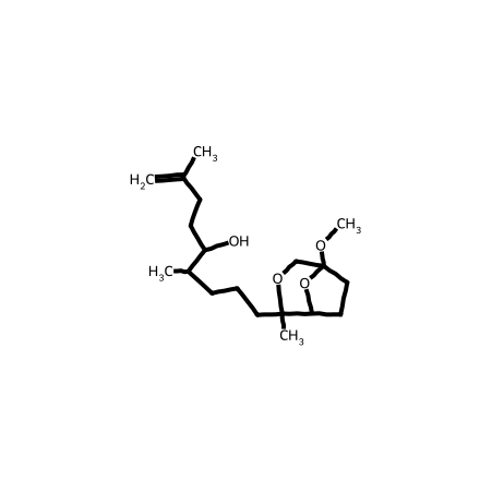 C=C(C)CCC(O)C(C)CCCC1(C)OCC2(OC)CCC1O2